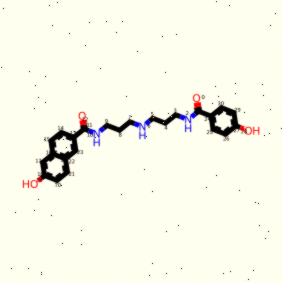 O=C(NCCCNCCCNC(=O)c1ccc2cc(O)ccc2c1)c1ccc(O)cc1